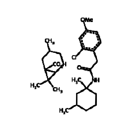 CC1CCC2C(C)(C)C2(C(=O)O)C1.COc1ccc(CC(=O)NC2(C)CCCC(C)C2)c(Cl)c1